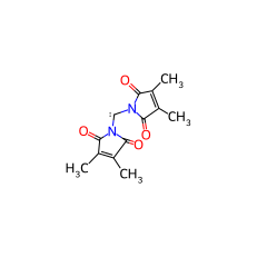 CC1=C(C)C(=O)N([C]N2C(=O)C(C)=C(C)C2=O)C1=O